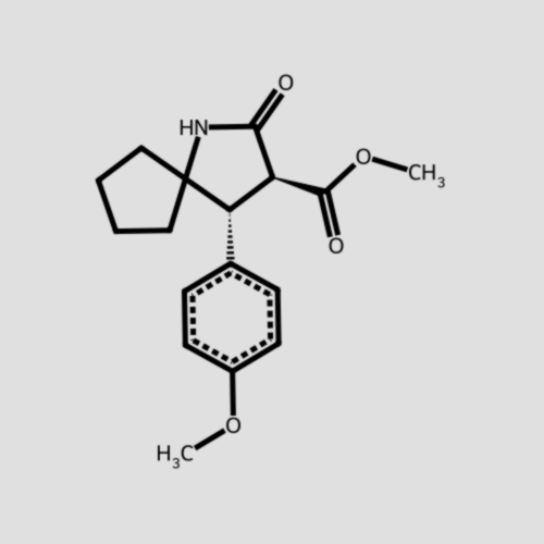 COC(=O)[C@@H]1C(=O)NC2(CCCC2)[C@H]1c1ccc(OC)cc1